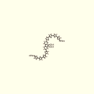 CCCCCCCCC1(CCCCCCCC)c2cc(-c3ccc(-c4ccc(-c5ccc(-c6ccc(CCCCCC)s6)s5)s4)s3)ccc2-c2ccc(-c3ccc(-c4ccc(-c5ccc(-c6ccc(CCCCCC)s6)s5)s4)s3)cc21